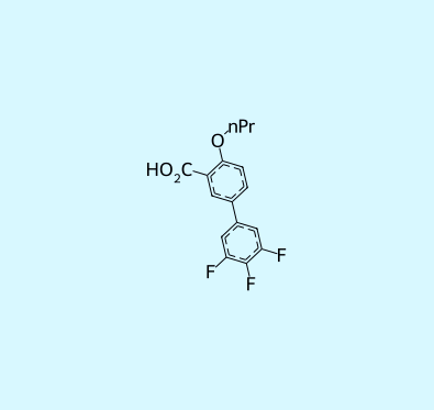 CCCOc1ccc(-c2cc(F)c(F)c(F)c2)cc1C(=O)O